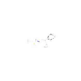 CC(C)(C)[S+]([O-])N=CCC(c1ccncc1)C1CC1